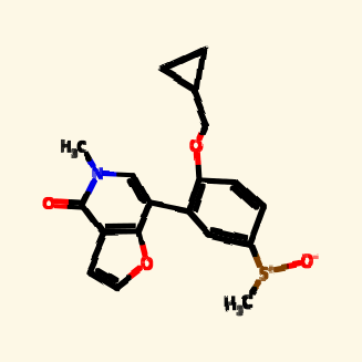 Cn1cc(-c2cc([S+](C)[O-])ccc2OCC2CC2)c2occc2c1=O